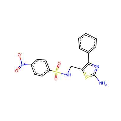 Nc1nc(-c2ccccc2)c(CNS(=O)(=O)c2ccc([N+](=O)[O-])cc2)s1